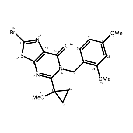 COc1ccc(Cn2c(C3(OC)CC3)nc3sc(Br)nc3c2=O)c(OC)c1